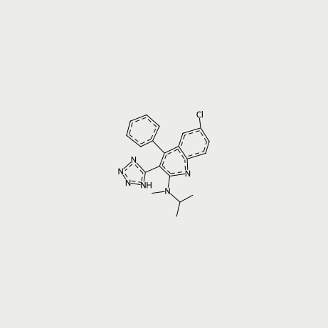 CC(C)N(C)c1nc2ccc(Cl)cc2c(-c2ccccc2)c1-c1nnn[nH]1